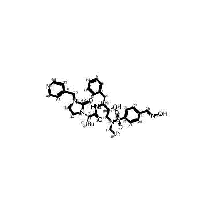 CC[C@H](C)[C@@H](C(=O)N[C@@H](Cc1ccccc1)[C@H](O)CN(CC(C)C)S(=O)(=O)c1ccc(C=NO)cc1)N1CCN(Cc2ccncc2)C1=O